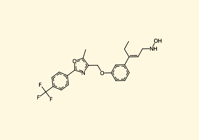 CC/C(=C\CNO)c1cccc(OCc2nc(-c3ccc(C(F)(F)F)cc3)oc2C)c1